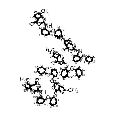 Cc1cc2c(=O)oc(Nc3ccccc3Oc3ccccc3)nc2s1.Cc1cc2c(=O)oc(Oc3ccccc3Oc3ccccc3)nc2s1.Cc1cc2nc(Oc3ccccc3Oc3ccccc3)oc(=O)c2s1.Cc1scc2c(=O)oc(Nc3ccccc3Oc3ccccc3)nc12.Cc1scc2nc(Nc3ccccc3Oc3ccccc3)oc(=O)c12